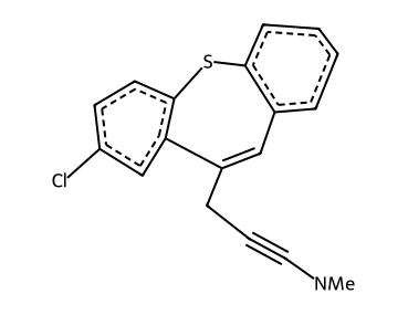 CNC#CCC1=Cc2ccccc2Sc2ccc(Cl)cc21